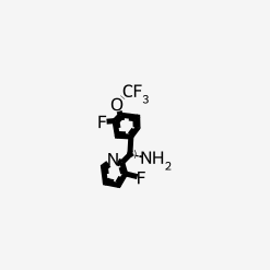 N[C@@H](c1ccc(OC(F)(F)F)c(F)c1)c1ncccc1F